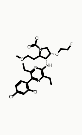 CCc1nc(-c2ccc(Cl)cc2Cl)c(CC)nc1N[C@@H]1C(CCOC)N(C(=O)O)C[C@@H]1OCCF